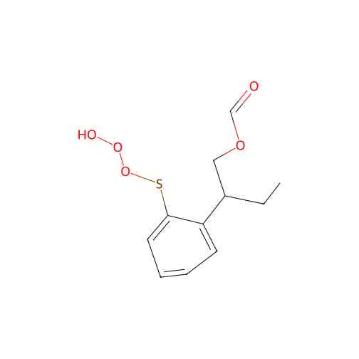 CCC(COC=O)c1ccccc1SOOO